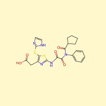 O=C(O)Cc1nc(NC(=O)C(=O)N(C(=O)C2CCCC2)c2ccccc2)sc1Sc1ncc[nH]1